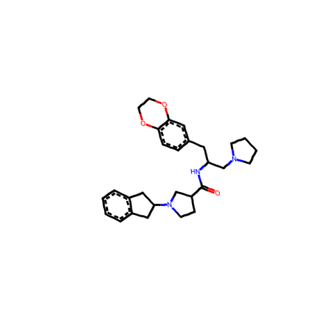 O=C(NC(Cc1ccc2c(c1)OCCO2)CN1CCCC1)C1CCN(C2Cc3ccccc3C2)C1